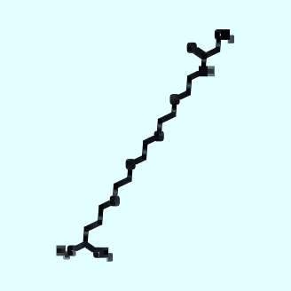 CCC(=O)NCCOCCOCCOCCOCCCC(C)C